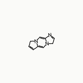 C1=CC2=CN3CC=NC3=CN2C1